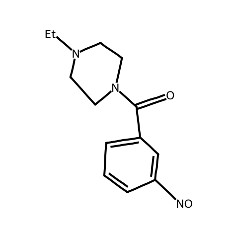 CCN1CCN(C(=O)c2cccc(N=O)c2)CC1